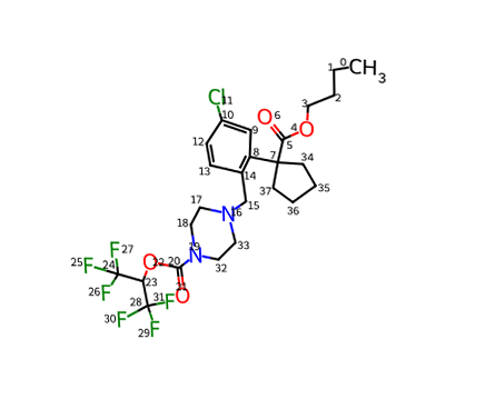 CCCCOC(=O)C1(c2cc(Cl)ccc2CN2CCN(C(=O)OC(C(F)(F)F)C(F)(F)F)CC2)CCCC1